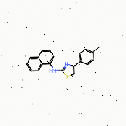 Cc1ccc(-c2csc(Nc3cccc4ccccc34)n2)cc1